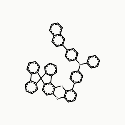 c1ccc(N(c2ccc(-c3ccc4ccccc4c3)cc2)c2ccc(-c3cccc4c3Oc3c(ccc5c3-c3ccccc3C53c5ccccc5-c5ccccc53)O4)cc2)cc1